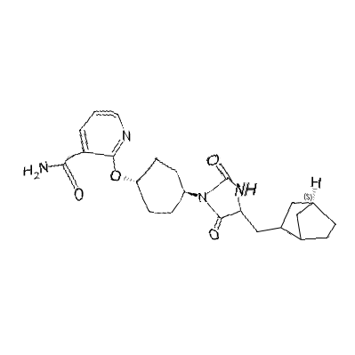 NC(=O)c1cccnc1O[C@H]1CC[C@H](N2C(=O)NC(CC3C[C@H]4CCC3C4)C2=O)CC1